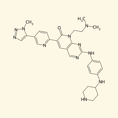 CN(C)CCn1c(=O)c(-c2ccc(-c3cnnn3C)cn2)cc2cnc(Nc3ccc(NC4CCNCC4)cc3)nc21